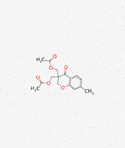 CC(=O)OCC1(COC(C)=O)COc2cc(C)ccc2C1=O